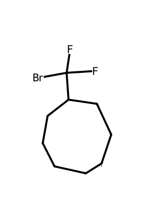 FC(F)(Br)C1CC[CH]CCCC1